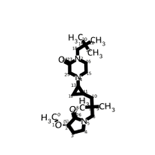 CO[C@H]1CCN(CC(C)(C)CC2CC2N2CCN(CC(C)(C)C)C(=O)C2)C1=O